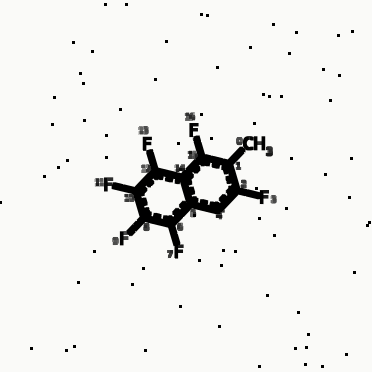 Cc1c(F)[c]c2c(F)c(F)c(F)c(F)c2c1F